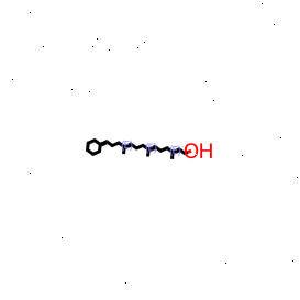 C/C(=C\CC/C(C)=C/CC/C(C)=C/CO)CCC=C1CCCCC1